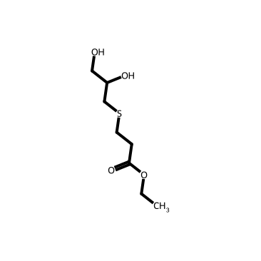 CCOC(=O)CCSCC(O)CO